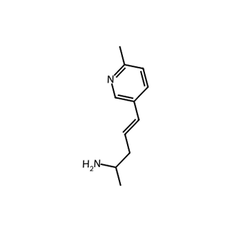 Cc1ccc(C=CCC(C)N)cn1